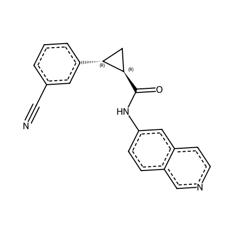 N#Cc1cccc([C@@H]2C[C@H]2C(=O)Nc2ccc3cnccc3c2)c1